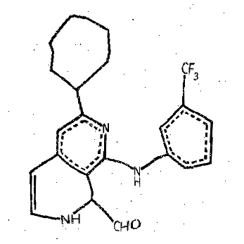 O=CC1NC=Cc2cc(C3CCCCC3)nc(Nc3cccc(C(F)(F)F)c3)c21